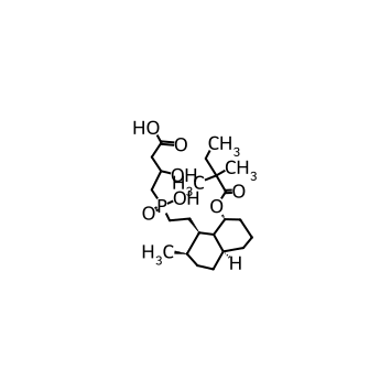 CCC(C)(C)C(=O)O[C@@H]1CCC[C@H]2CC[C@@H](C)[C@@H](CCP(=O)(O)CC(O)CC(=O)O)C21